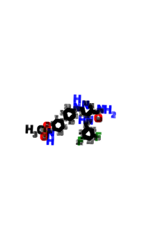 CS(=O)(=O)N[C@H]1CC[C@H](c2ccc(Nc3cc(NCc4cc(F)cc(F)c4)c(C(N)=O)cn3)cc2)CC1